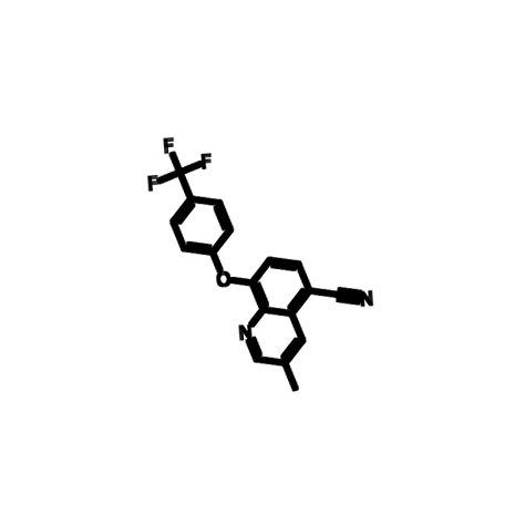 Cc1cnc2c(Oc3ccc(C(F)(F)F)cc3)ccc(C#N)c2c1